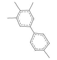 Cc1ccc(-c2cc(C)c(C)c(C)c2)cc1